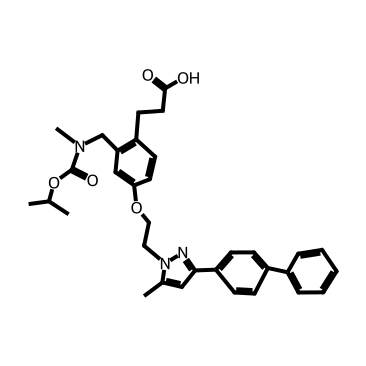 Cc1cc(-c2ccc(-c3ccccc3)cc2)nn1CCOc1ccc(CCC(=O)O)c(CN(C)C(=O)OC(C)C)c1